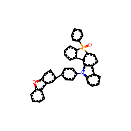 O=P1(c2ccccc2)c2ccccc2-c2c1ccc1c3ccccc3n(-c3ccc(-c4ccc5oc6ccccc6c5c4)cc3)c21